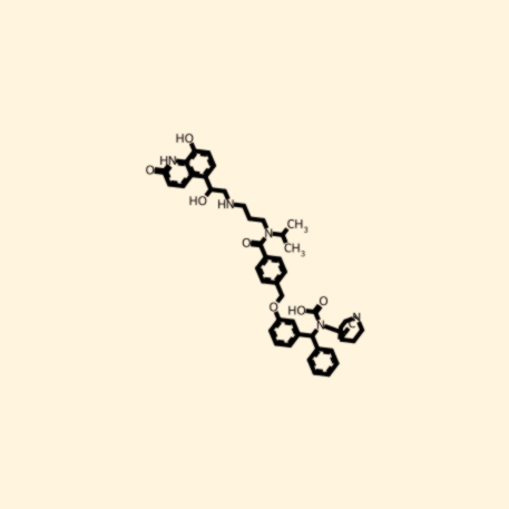 CC(C)N(CCCNCC(O)c1ccc(O)c2[nH]c(=O)ccc12)C(=O)c1ccc(COc2cccc(C(c3ccccc3)N(C(=O)O)C3CN4CCC3CC4)c2)cc1